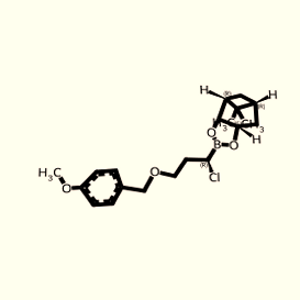 COc1ccc(COCC[C@H](Cl)B2OC3[C@H](C[C@H]4C[C@@H]3C4(C)C)O2)cc1